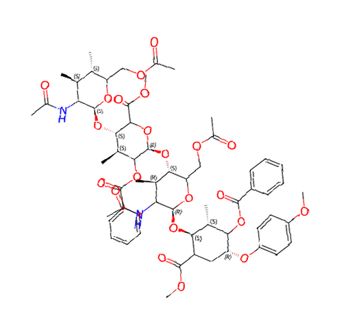 COC(=O)C1C[C@@H](Oc2ccc(OC)cc2)C(OC(=O)c2ccccc2)[C@@H](C)[C@@H]1O[C@@H]1OC(COC(C)=O)[C@@H](O[C@@H]2OC(C(=O)OC)[C@@H](O[C@@H]3OC(COC(C)=O)[C@@H](C)[C@H](C)C3NC(C)=O)[C@H](C)C2OC(=O)c2ccccc2)[C@H](C)C1NC(C)=O